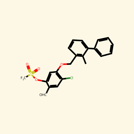 Cc1c(COc2cc(OS(=O)(=O)C(F)(F)F)c(C=O)cc2Cl)cccc1-c1ccccc1